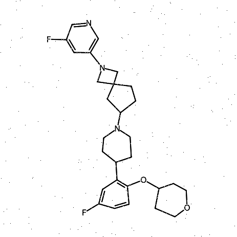 Fc1cncc(N2CC3(CCC(N4CCC(c5cc(F)ccc5OC5CCOCC5)CC4)C3)C2)c1